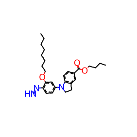 CCCCCCCCOc1cc(N2CCc3cc(C(=O)OCCCC)ccc32)ccc1N=N